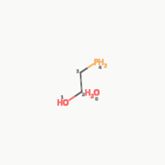 O.OCCP